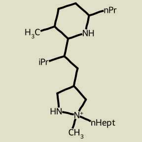 CCCCCCC[N+]1(C)CC(CC(C(C)C)C2NC(CCC)CCC2C)CN1